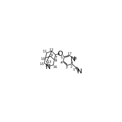 N#Cc1ccc(OC2C3CC4CC2CN(C4)C3)cn1